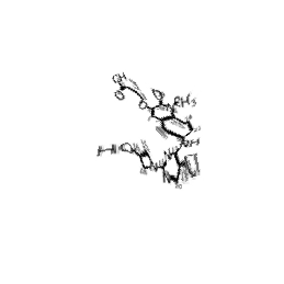 CC(=O)COc1cc2cc(Nc3nc(N4CC(O)C4)ncc3Cl)ccc2n(C)c1=O